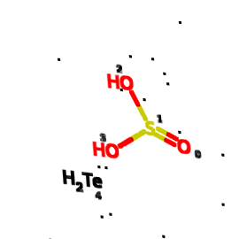 O=S(O)O.[TeH2]